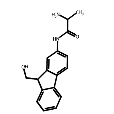 CC(N)C(=O)Nc1ccc2c(c1)C(CO)c1ccccc1-2